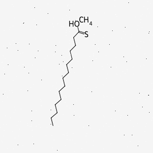 C.CCCCCCCCCCCCCCC(O)=S